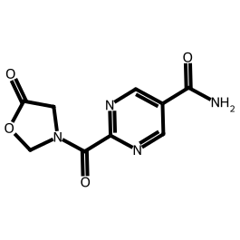 NC(=O)c1cnc(C(=O)N2COC(=O)C2)nc1